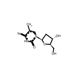 Cc1cn([C@H]2C[C@H](O)[C@@H](CO)O2)c(=O)[nH]c1=[Se]